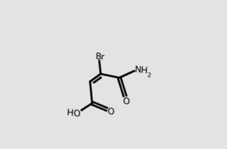 NC(=O)/C(Br)=C\C(=O)O